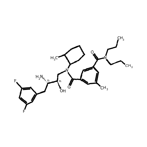 CCCN(CCC)C(=O)c1cc(C)cc(C(=O)N(C[C@@H](O)[C@@H](N)Cc2cc(F)cc(F)c2)C2CCCCC2C)c1